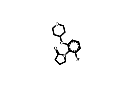 O=C1CCCN1c1c(Br)cccc1OC1CCOCC1